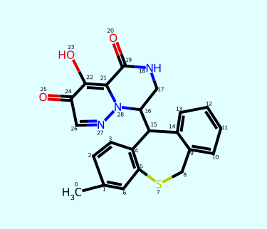 Cc1ccc2c(c1)SCc1ccccc1C2C1CNC(=O)c2c(O)c(=O)cnn21